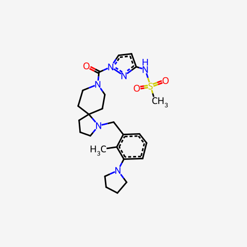 Cc1c(CN2CCCC23CCN(C(=O)n2ccc(NS(C)(=O)=O)n2)CC3)cccc1N1CCCC1